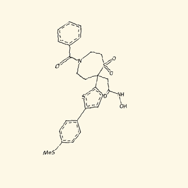 CSc1ccc(-c2ccc(C3(CC(=O)NO)CCN(C(=O)c4ccccc4)CCS3(=O)=O)s2)cc1